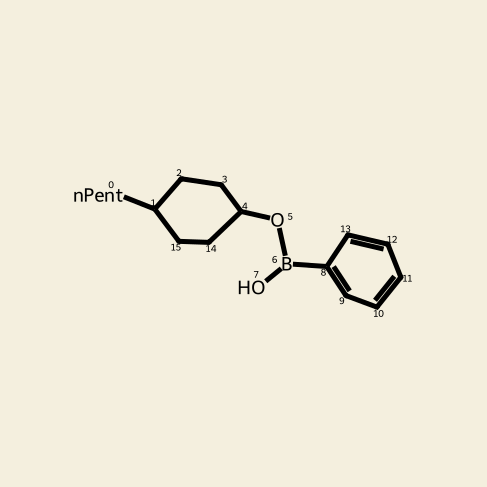 CCCCCC1CCC(OB(O)c2ccccc2)CC1